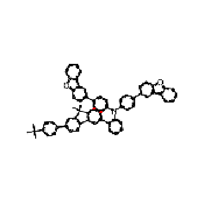 CC(C)(C)c1ccc(-c2ccc3c(c2)C(C)(C)c2ccc(-c4ccccc4N(c4ccc(-c5ccc6oc7ccccc7c6c5)cc4)c4ccc(-c5ccc6oc7ccccc7c6c5)cc4)cc2-3)cc1